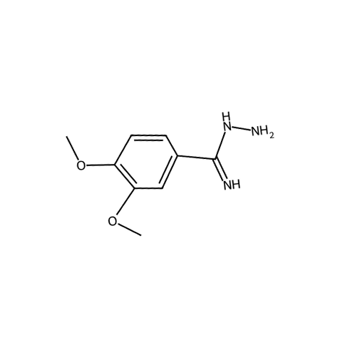 COc1ccc(C(=N)NN)cc1OC